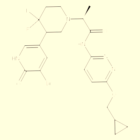 C[C@@H](C(=O)Nc1ccc(OCC2CC2)nn1)N1CCC(F)(F)C(c2c[nH]c(=O)c(Br)c2)C1